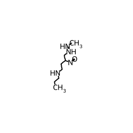 CCCNCCC(CNNC)N=O